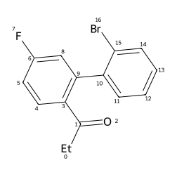 CCC(=O)c1ccc(F)cc1-c1ccccc1Br